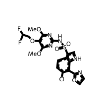 COc1nc(NS(=O)(=O)c2c[nH]c3c(-c4ncco4)c(Cl)ccc23)nc(OC)c1OCC(F)F